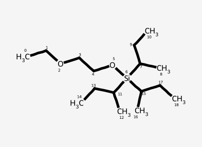 CCOCCO[Si](C(C)CC)(C(C)CC)C(C)CC